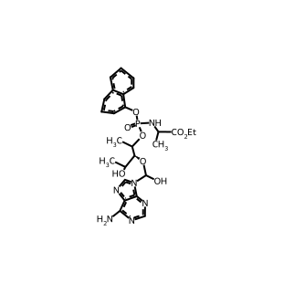 CCOC(=O)C(C)NP(=O)(Oc1cccc2ccccc12)OC(C)[C@@H](OC(O)n1cnc2c(N)ncnc21)C(C)O